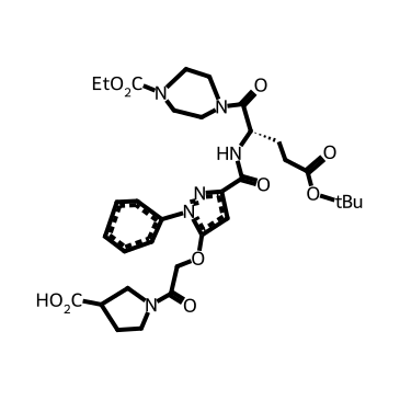 CCOC(=O)N1CCN(C(=O)[C@H](CCC(=O)OC(C)(C)C)NC(=O)c2cc(OCC(=O)N3CCC(C(=O)O)C3)n(-c3ccccc3)n2)CC1